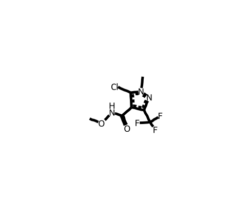 CONC(=O)c1c(C(F)(F)F)nn(C)c1Cl